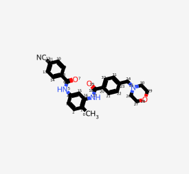 Cc1ccc(NC(=O)c2ccc(C#N)cc2)cc1NC(=O)c1ccc(CN2CCOCC2)cc1